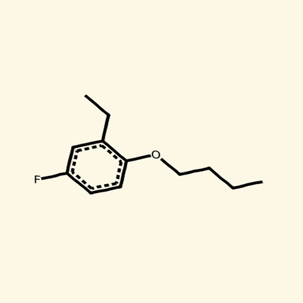 CCCCOc1ccc(F)cc1CC